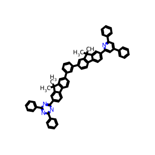 CC1(C)c2cc(-c3cccc(-c4ccc5c(c4)C(C)(C)c4cc(-c6nc(-c7ccccc7)nc(-c7ccccc7)n6)ccc4-5)c3)ccc2-c2ccc(-c3cc(-c4ccccc4)cc(-c4ccccc4)n3)cc21